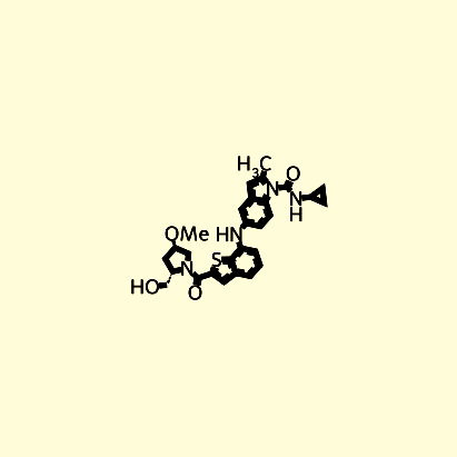 CO[C@@H]1C[C@@H](CO)N(C(=O)c2cc3cccc(Nc4ccc5c(c4)cc(C)n5C(=O)NC4CC4)c3s2)C1